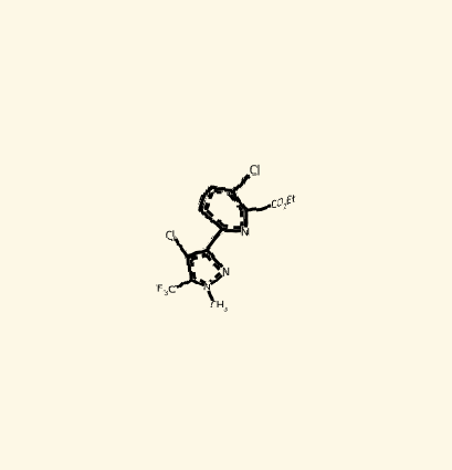 CCOC(=O)c1nc(-c2nn(C)c(C(F)(F)F)c2Cl)ccc1Cl